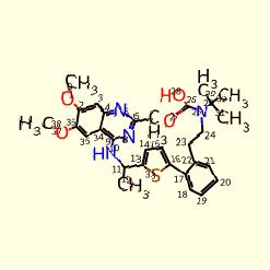 COc1cc2nc(C)nc(NC(C)c3ccc(-c4ccccc4CCN(C(=O)O)C(C)(C)C)s3)c2cc1OC